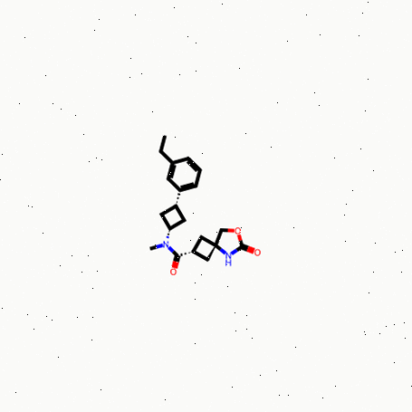 CCc1cccc([C@H]2C[C@@H](N(C)C(=O)[C@H]3C[C@]4(COC(=O)N4)C3)C2)c1